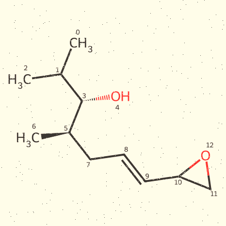 CC(C)[C@H](O)[C@H](C)C/C=C/C1CO1